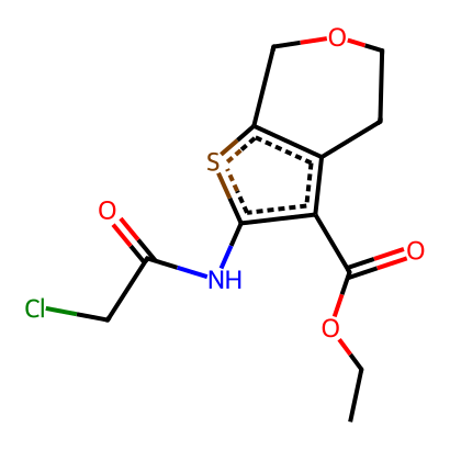 CCOC(=O)c1c(NC(=O)CCl)sc2c1CCOC2